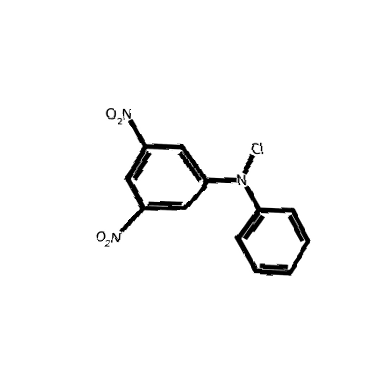 O=[N+]([O-])c1cc(N(Cl)c2ccccc2)cc([N+](=O)[O-])c1